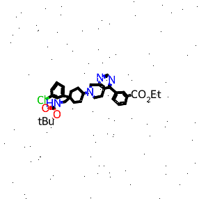 CCOC(=O)c1cccc(-c2ncnc3c2CCN(C2CCC(CNC(=O)OC(C)(C)C)(c4cccc(Cl)c4)CC2)C3)c1